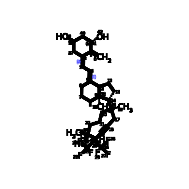 C=C1/C(=C\C=C2/CCC[C@@]3(C)C2CC[C@@H]3[C@@](C)(CC#CC(O)(C(F)(F)F)C(F)(F)F)CCCC(C)(C)O)CC(O)C[C@@H]1O